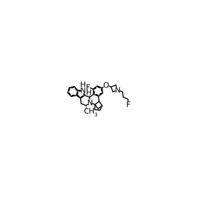 C[C@@H]1Cc2c([nH]c3ccccc23)[C@H]2c3c(F)cc(OC4CN(CCCF)C4)cc3C3C4CCC3(C4)N21